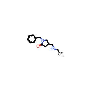 O=C1CC(CNCC(F)(F)F)CN1Cc1ccccc1